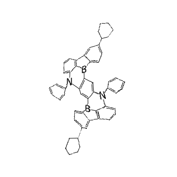 c1ccc(N2c3cc4c(cc3B3c5ccc(C6CCCCC6)cc5-c5cccc2c53)N(c2ccccc2)c2cccc3c2B4c2ccc(C4CCCCC4)cc2-3)cc1